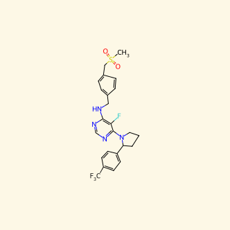 CS(=O)(=O)Cc1ccc(CNc2ncnc(N3CCCC3c3ccc(C(F)(F)F)cc3)c2F)cc1